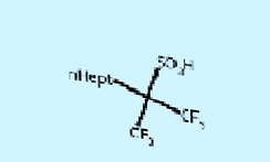 CCCCCCCC(C(F)(F)F)(C(F)(F)F)S(=O)(=O)O